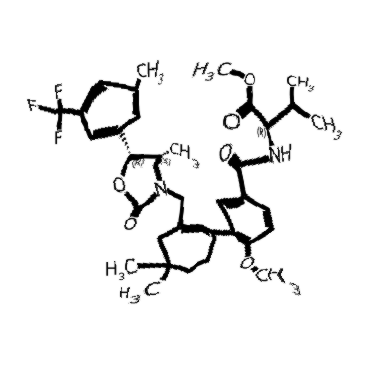 COC(=O)[C@H](NC(=O)c1ccc(OC)c(C2=C(CN3C(=O)O[C@H](c4cc(C)cc(C(F)(F)F)c4)[C@@H]3C)CC(C)(C)CC2)c1)C(C)C